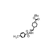 Cc1ccc(S(=O)(=O)NN=CC2CCN(C(=O)OC(C)(C)C)CC2)cc1